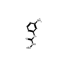 CCCCNC(=O)Oc1cccc(N)c1